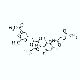 CC(=O)OCC(=O)Nc1c(I)cc(I)c(NC(=O)C(CC(COC(C)=O)OC(C)=O)OC(C)=O)c1I